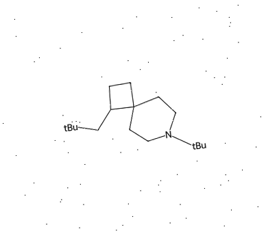 CC(C)(C)CC1CCC12CCN(C(C)(C)C)CC2